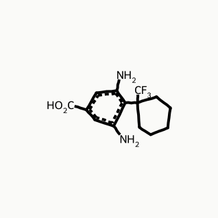 Nc1cc(C(=O)O)cc(N)c1C1(C(F)(F)F)CCCCC1